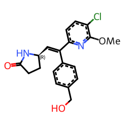 COc1nc(C(=C[C@H]2CCC(=O)N2)c2ccc(CO)cc2)ccc1Cl